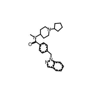 CN(C(=O)c1ccc(Cn2ncc3ccccc32)cc1)C1CCN(C2CCCC2)CC1